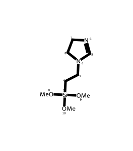 CO[Si](CCN1C=NCC1)(OC)OC